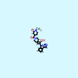 CN1CCC(C(=O)N2CCC3(CC2)CC(C2c4ccccc4-c4cncn42)C3O)CC1=O